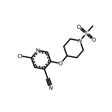 CS(=O)(=O)N1CCC(Oc2cnc(Cl)cc2C#N)CC1